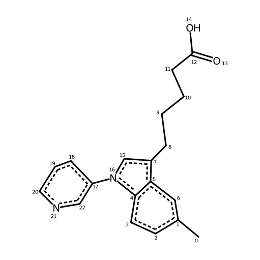 Cc1ccc2c(c1)c(CCCCC(=O)O)cn2-c1cccnc1